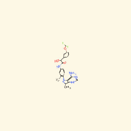 Cc1cc(NC(=O)C(O)c2cccc(OC(F)F)c2)ccc1-n1nc(C)c2ncnc(N)c21